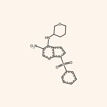 O=[N+]([O-])c1cnc2c(ccn2S(=O)(=O)c2ccccc2)c1NC1CCCOC1